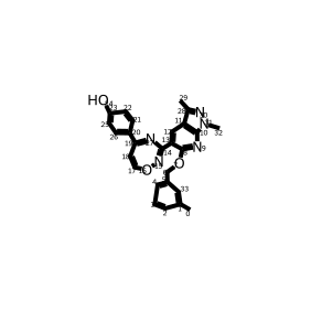 Cc1cccc(COc2nc3c(cc2C2=NOC=CC(c4ccc(O)cc4)=N2)c(C)nn3C)c1